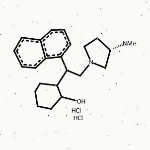 CN[C@H]1CCN(CC(c2cccc3ccccc23)C2CCCCC2O)C1.Cl.Cl